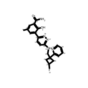 Cc1cc(C(N)=O)c(O)c(-c2ccc(NCC3(c4ccccn4)CC(F)C3)nn2)c1